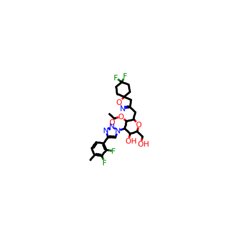 CC(=O)OC1C(CC2=NOC3(CCC(F)(F)CC3)C2)OC(CO)C(O)C1n1cc(-c2ccc(C)c(F)c2F)nn1